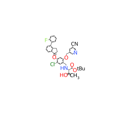 C[C@@H](O)C(NCc1cc(Cl)c(O[C@H]2CCc3c(-c4ccccc4F)cccc32)cc1OCc1cncc(C#N)c1)C(=O)OC(C)(C)C